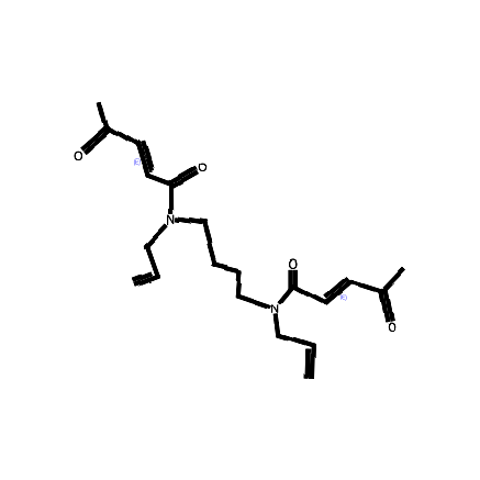 C=CCN(CCCCN(CC=C)C(=O)/C=C/C(C)=O)C(=O)/C=C/C(C)=O